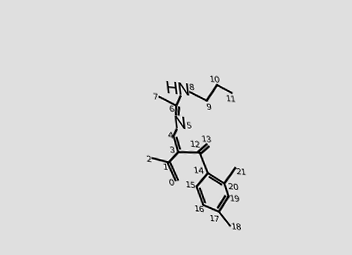 C=C(C)/C(=C/N=C(\C)NCCC)C(=C)c1ccc(C)cc1C